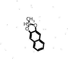 C[SiH]1Oc2cc3ccccc3cc2O1